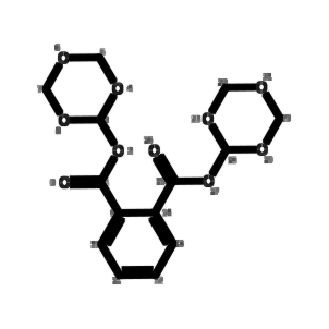 O=C(OC1OCOCO1)c1ccccc1C(=O)OC1OCOCO1